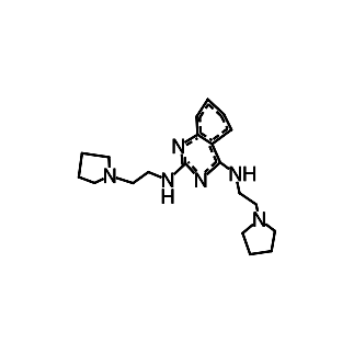 c1ccc2c(NCCN3CCCC3)nc(NCCN3CCCC3)nc2c1